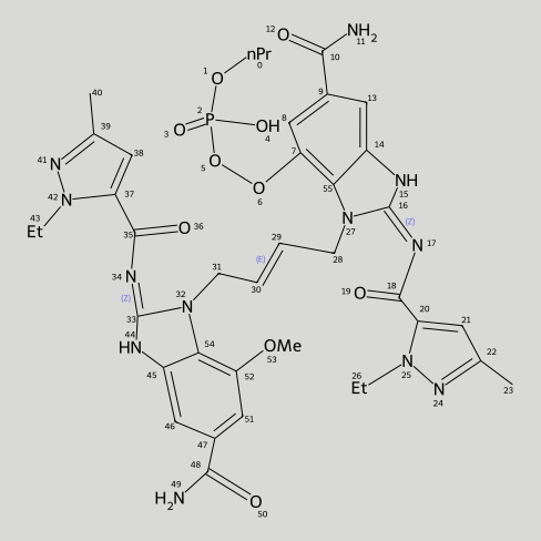 CCCOP(=O)(O)OOc1cc(C(N)=O)cc2[nH]/c(=N/C(=O)c3cc(C)nn3CC)n(C/C=C/Cn3/c(=N\C(=O)c4cc(C)nn4CC)[nH]c4cc(C(N)=O)cc(OC)c43)c12